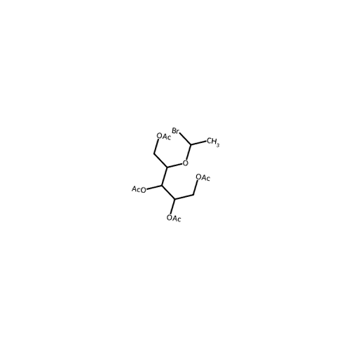 CC(=O)OCC(OC(C)=O)C(OC(C)=O)C(COC(C)=O)OC(C)Br